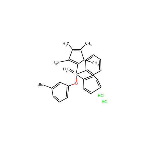 Cl.Cl.[CH2]=[Ti]([O]c1cccc(C(C)(C)C)c1)([C]1=C([SiH3])C(C)=C(C)C1C)([c]1ccccc1)[c]1ccccc1